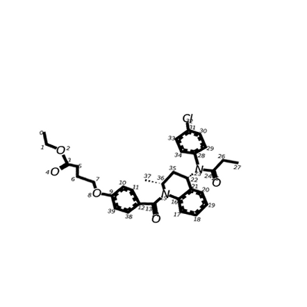 CCOC(=O)CCCOc1ccc(C(=O)N2c3ccccc3[C@@H](N(C(=O)CC)c3ccc(Cl)cc3)C[C@H]2C)cc1